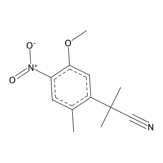 COc1cc(C(C)(C)C#N)c(C)cc1[N+](=O)[O-]